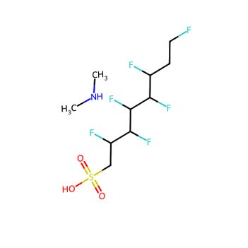 CNC.O=S(=O)(O)CC(F)C(F)C(F)C(F)C(F)CCF